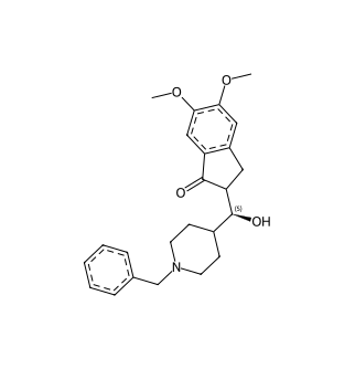 COc1cc2c(cc1OC)C(=O)C([C@@H](O)C1CCN(Cc3ccccc3)CC1)C2